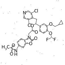 CS(=O)(=O)Nc1ccc2c(c1)oc(=O)n2CC(=O)OC(Cc1c(Cl)cncc1Cl)c1ccc(OC(F)F)c(OCC2CC2)c1